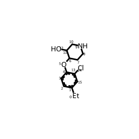 CCc1ccc(OC2CCNCC2O)c(Cl)c1